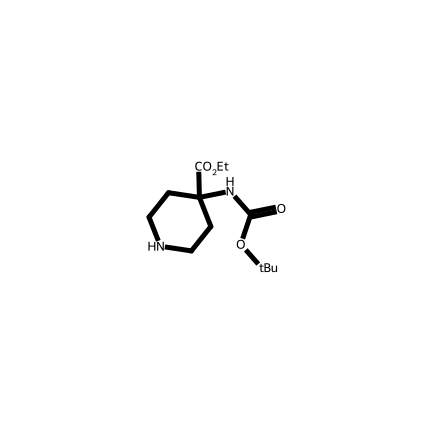 CCOC(=O)C1(NC(=O)OC(C)(C)C)CCNCC1